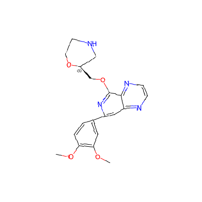 COc1ccc(-c2cc3nccnc3c(OC[C@@H]3CNCCO3)n2)cc1OC